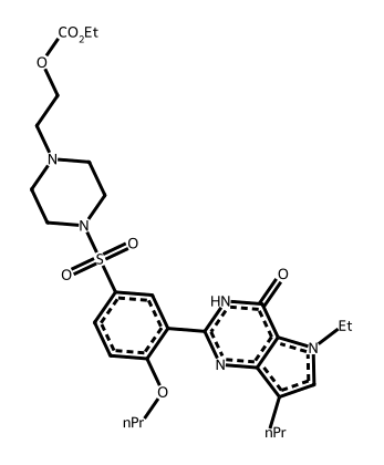 CCCOc1ccc(S(=O)(=O)N2CCN(CCOC(=O)OCC)CC2)cc1-c1nc2c(CCC)cn(CC)c2c(=O)[nH]1